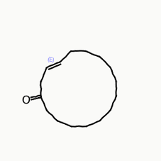 O=C1C/C=C/CCCCCCCCCCCC1